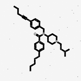 CCCC#Cc1ccc(CN(C(=O)c2ccc(CCCCC)cc2)C2CCN(CCC(C)C)CC2)cc1